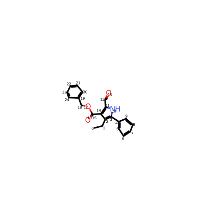 CCc1c(-c2ccccc2)[nH]c(C=O)c1C(=O)OCc1ccccc1